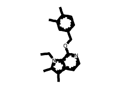 CCn1c(C)c(C)c2ccnc(OCc3ccc(C)c(C)c3)c21